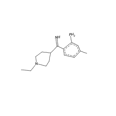 CCN1CCC(C(=N)c2ccc(C)cc2P)CC1